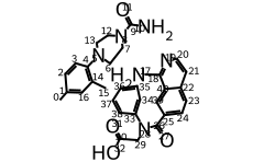 Cc1ccc(N2CCN(C(N)=O)CC2)c(C)c1.Nc1nccc2ccc(C(=O)N(CC(=O)O)c3ccccc3)cc12